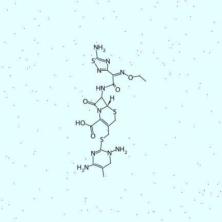 CCO/N=C(\C(=O)NC1C(=O)N2C(C(=O)O)=C(CSC3=NC(N)=C(C)CN3N)CS[C@@H]12)c1nsc(N)n1